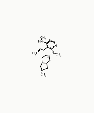 C=CCc1c(NC)ncnc1N(C)[C@H]1CCC2CN(C)CC2C1